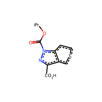 CC(C)OC(=O)n1nc(C(=O)O)c2ccccc21